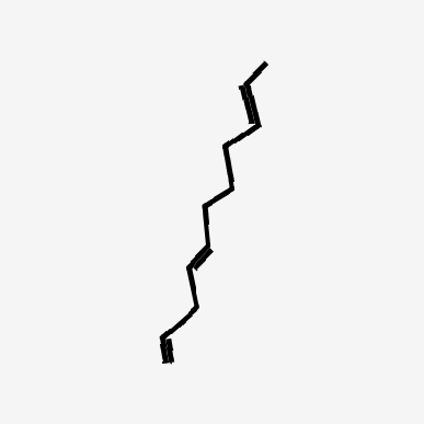 [CH]=CCC=CCCCC=CC